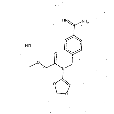 COCC(=O)N(Cc1ccc(C(=N)N)cc1)C1=COCO1.Cl